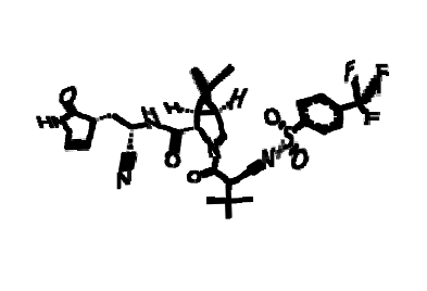 CC(C)(C)C(C#[N+]S(=O)(=O)c1ccc(C(F)(F)F)cc1)C(=O)N1C[C@H]2[C@@H]([C@H]1C(=O)N[C@H](C#N)C[C@@H]1CCNC1=O)C2(C)C